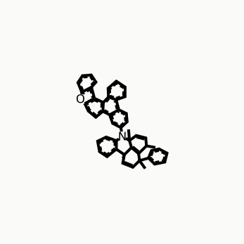 CC1C=CC2(C)C3=C1C(C)(c1ccccc1)C=CC3(C)c1ccccc1N2c1ccc2c3ccccc3c3c(ccc4oc5ccccc5c43)c2c1